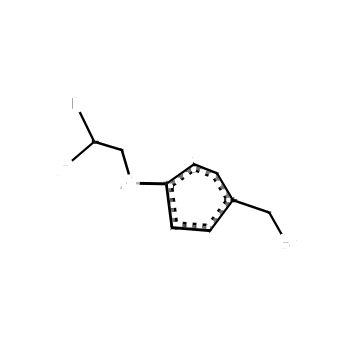 FC(F)COc1ccc(CBr)cc1